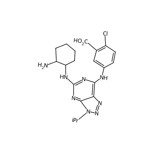 CC(C)n1nnc2c(Nc3ccc(Cl)c(C(=O)O)c3)nc(NC3CCCCC3N)nc21